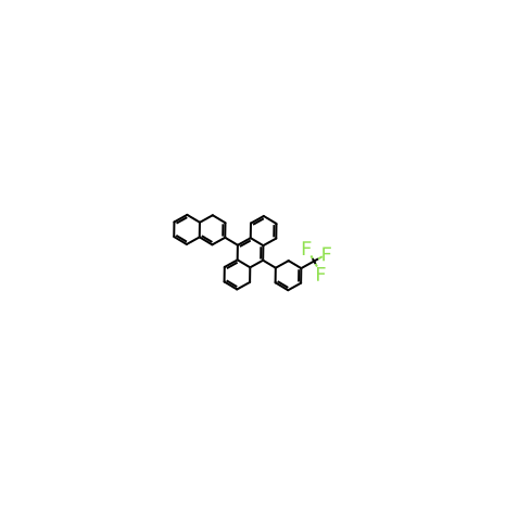 FC(F)(F)C1=CC=CC(C2=c3ccccc3=C(C3=CCC4C=CC=CC4=C3)C3=CC=CCC32)C1